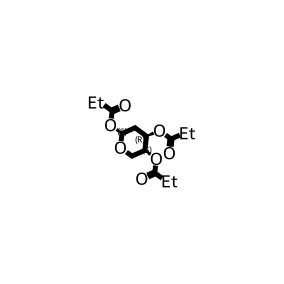 CCC(=O)O[C@H]1C[C@@H](OC(=O)CC)[C@@H](OC(=O)CC)CO1